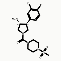 CN[C@H]1CN(C(=O)N2CCN(S(C)(=O)=O)CC2)C[C@@H]1c1ccc(Cl)c(Cl)c1